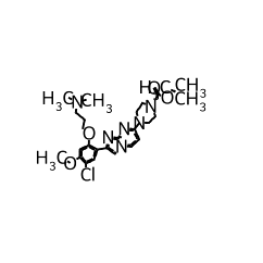 COc1cc(OCCCN(C)C)c(-c2cn3ccc(N4CCN(C(=O)OC(C)(C)C)CC4)nc3n2)cc1Cl